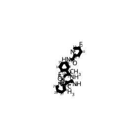 C[C@@]1(c2cc(NC(=O)c3ccc(F)cn3)ccc2F)CS(=O)(=O)[C@@](C)(c2ccccn2)C(=N)N1